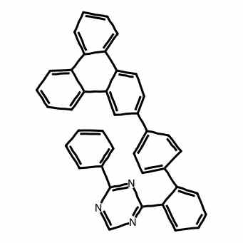 c1ccc(-c2ncnc(-c3ccccc3-c3ccc(-c4ccc5c6ccccc6c6ccccc6c5c4)cc3)n2)cc1